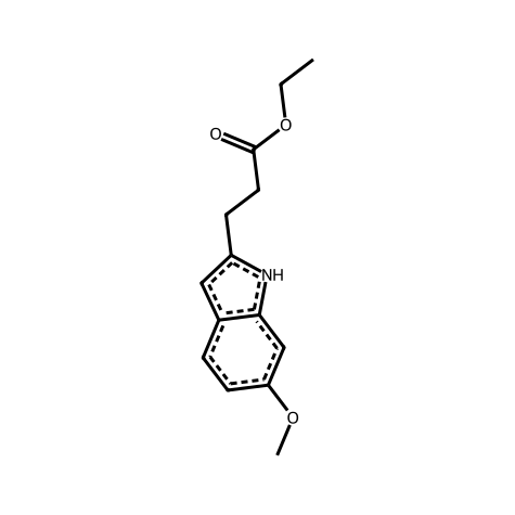 CCOC(=O)CCc1cc2ccc(OC)cc2[nH]1